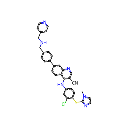 Cn1ccnc1Sc1ccc(Nc2c(C#N)cnc3cc(-c4ccc(CNCc5ccncc5)cc4)ccc23)cc1Cl